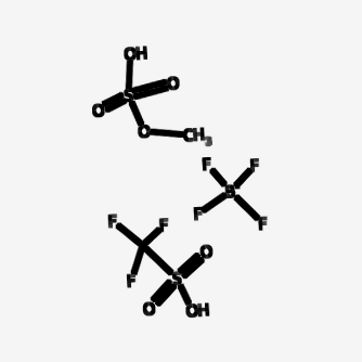 COS(=O)(=O)O.F[B-](F)(F)F.O=S(=O)(O)C(F)(F)F